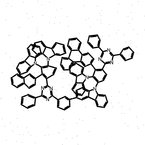 c1ccc(-c2nc(-c3cccc(-c4ccc5c(c4)c4ccccc4n5-c4ccc(-c5nc(-c6ccccc6)nc(-c6ccccc6)n5)c(-c5ccc6c7ccccc7c7ccccc7c6c5)c4-n4c5ccccc5c5ccccc54)c3)nc(-c3ccc(-n4c5ccccc5c5ccccc54)c(-n4c5ccccc5c5ccccc54)c3-c3ccc4ccccc4c3)n2)cc1